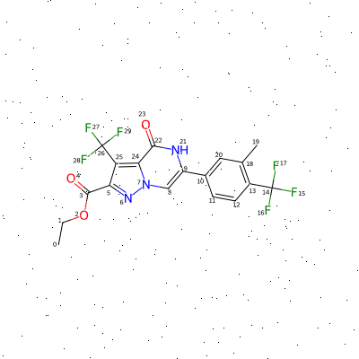 CCOC(=O)c1nn2cc(-c3ccc(C(F)(F)F)c(C)c3)[nH]c(=O)c2c1C(F)(F)F